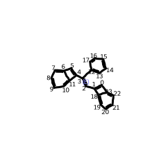 C1=C(/C=C(/C2=Cc3ccccc32)c2ccccc2)c2ccccc21